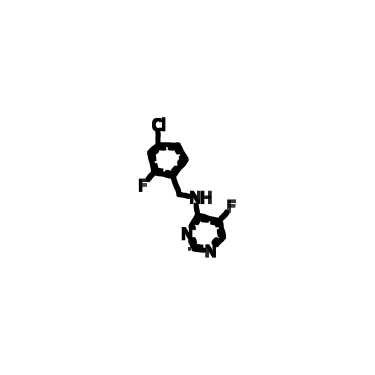 Fc1cc(Cl)ccc1CNc1n[c]ncc1F